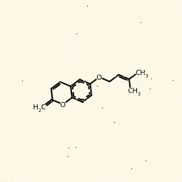 C=C1C=Cc2cc(OCC=C(C)C)ccc2O1